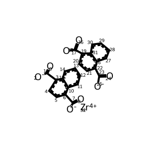 O=C([O-])c1ccc(C(=O)[O-])c2ccccc12.O=C([O-])c1ccc(C(=O)[O-])c2ccccc12.[Zr+4]